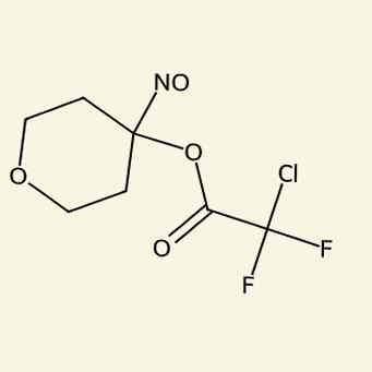 O=NC1(OC(=O)C(F)(F)Cl)CCOCC1